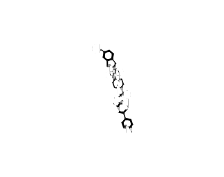 O=C(Oc1ncc(-c2ccncc2)cn1)N1CCN(S(=O)(=O)N2Cc3ccc(Cl)cc3C2)CC1